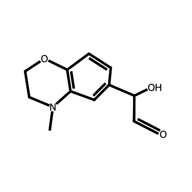 CN1CCOc2ccc(C(O)C=O)cc21